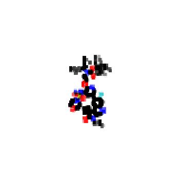 CC(C)N(CCOc1ncc(-c2cc3c4c(cnc3cc2F)N(C)C(=O)C42CCC2)cc1NS(=O)(=O)N1CCOCC1)C(=O)OC(C)(C)C